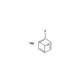 Br.Fc1ccc2cc1C2F